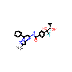 Cc1cc2nc(NC(=O)c3ccc([C@@](O)(C(O)C4CC4)C(F)(F)F)cc3)cc(-c3ccccc3)n2n1